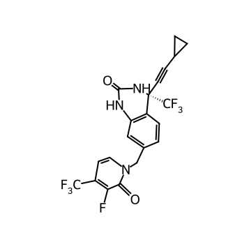 O=C1Nc2cc(Cn3ccc(C(F)(F)F)c(F)c3=O)ccc2[C@@](C#CC2CC2)(C(F)(F)F)N1